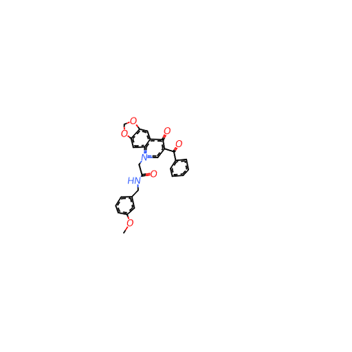 COc1cccc(CNC(=O)Cn2cc(C(=O)c3ccccc3)c(=O)c3cc4c(cc32)OCO4)c1